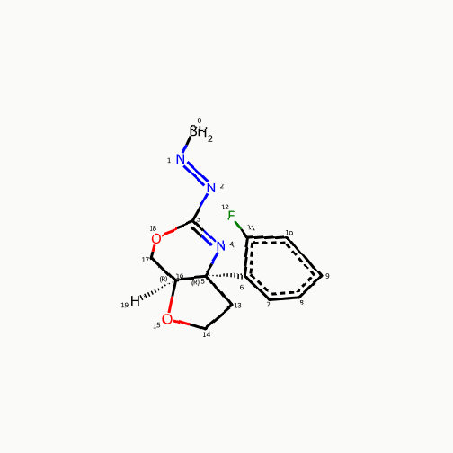 BN=NC1=N[C@@]2(c3ccccc3F)CCO[C@H]2CO1